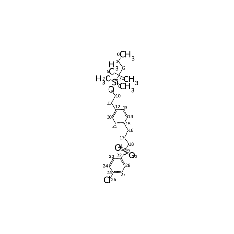 CCCC(C)(C)[Si](C)(C)OCCc1ccc(CCCS(=O)(=O)c2ccc(Cl)cc2)cc1